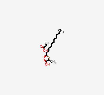 CCC(=O)O.CCCCCCCCCCCC(=O)SC(C)C(=O)O